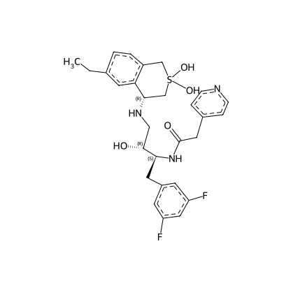 CCc1ccc2c(c1)[C@@H](NC[C@@H](O)[C@H](Cc1cc(F)cc(F)c1)NC(=O)Cc1ccncc1)CS(O)(O)C2